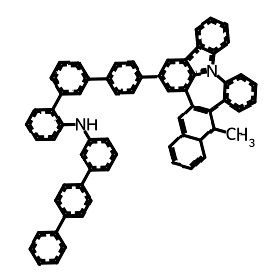 CC1C2=C(C=C3C=CC=CC31)c1cc(-c3ccc(-c4cccc(-c5ccccc5Nc5cccc(-c6ccc(-c7ccccc7)cc6)c5)c4)cc3)cc3c4ccccc4n(c13)-c1ccccc12